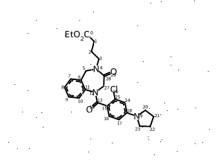 CCOC(=O)CCCN1Cc2ccccc2N(C(=O)c2ccc(N3CCCC3)cc2Cl)CC1=O